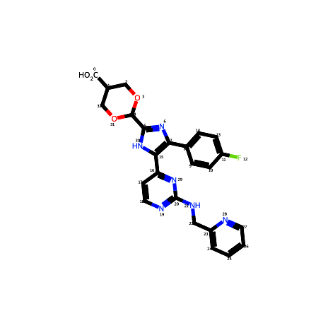 O=C(O)C1COC(c2nc(-c3ccc(F)cc3)c(-c3ccnc(NCc4ccccn4)n3)[nH]2)OC1